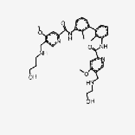 COc1cc(C(=O)Nc2cccc(-c3cccc(NC(=O)c4cc(OC)c(CNCCCO)cn4)c3C)c2C)ncc1CNCCO